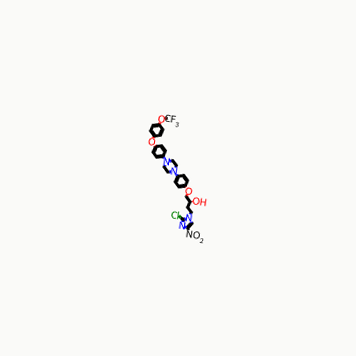 O=[N+]([O-])c1cn(CC[C@@H](O)COc2ccc(N3CCN(c4ccc(Oc5ccc(OC(F)(F)F)cc5)cc4)CC3)cc2)c(Cl)n1